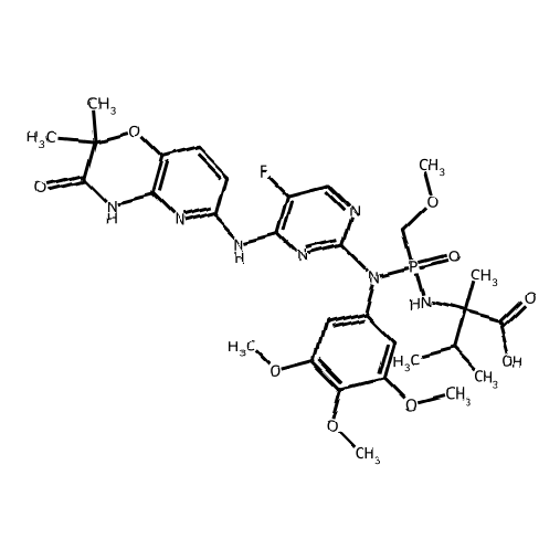 COCP(=O)(NC(C)(C(=O)O)C(C)C)N(c1cc(OC)c(OC)c(OC)c1)c1ncc(F)c(Nc2ccc3c(n2)NC(=O)C(C)(C)O3)n1